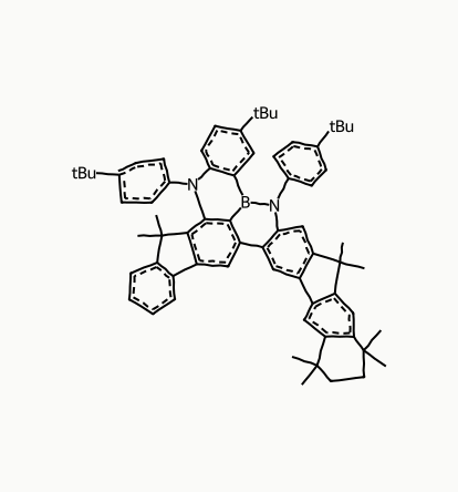 CC(C)(C)c1ccc(N2B3c4cc(C(C)(C)C)ccc4N(c4ccc(C(C)(C)C)cc4)c4c3c(cc3c4C(C)(C)c4ccccc4-3)-c3cc4c(cc32)C(C)(C)c2cc3c(cc2-4)C(C)(C)CCC3(C)C)cc1